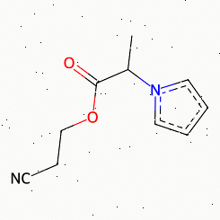 CC(C(=O)OCCC#N)n1cccc1